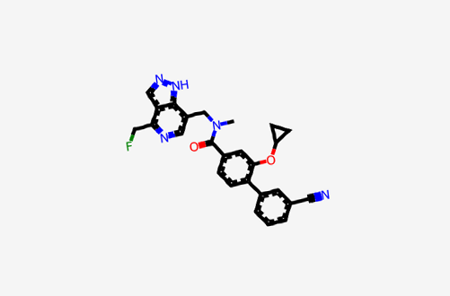 CN(Cc1cnc(CF)c2cn[nH]c12)C(=O)c1ccc(-c2cccc(C#N)c2)c(OC2CC2)c1